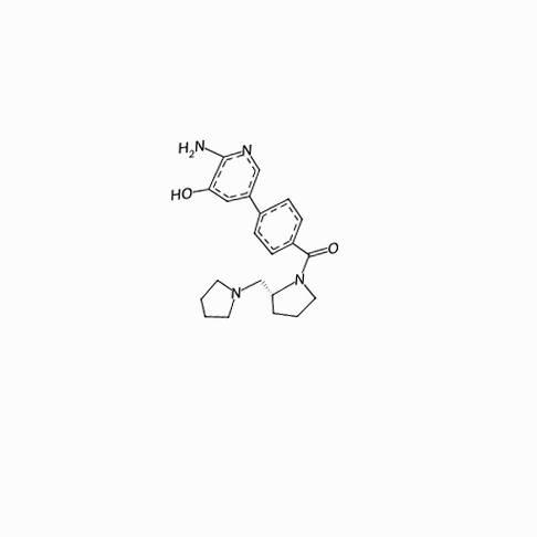 Nc1ncc(-c2ccc(C(=O)N3CCC[C@@H]3CN3CCCC3)cc2)cc1O